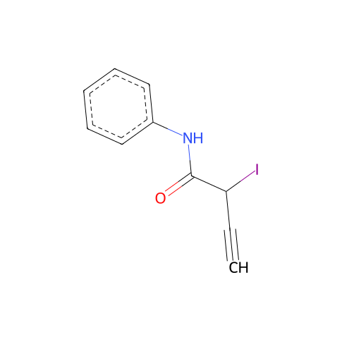 C#CC(I)C(=O)Nc1ccccc1